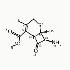 COC(=O)C1=C(C)CS[C@@H]2[C@@H](N)C(=O)N12